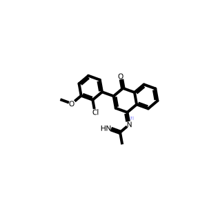 COc1cccc(C2=C/C(=N\C(C)=N)c3ccccc3C2=O)c1Cl